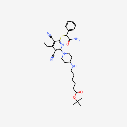 CCc1c(C#N)c(SC(C(N)=O)c2ccccc2)nc(N2CCC(NCCCCCC(=O)OC(C)(C)C)CC2)c1C#N